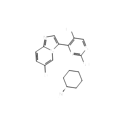 Cc1cnc(N[C@H]2CC[C@H](N)CC2)nc1-c1cnc2ccc(Br)cn12